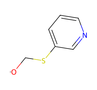 [O]CSc1cccnc1